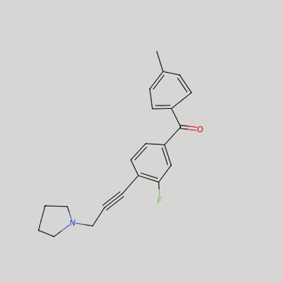 Cc1ccc(C(=O)c2ccc(C#CCN3CCCC3)c(F)c2)cc1